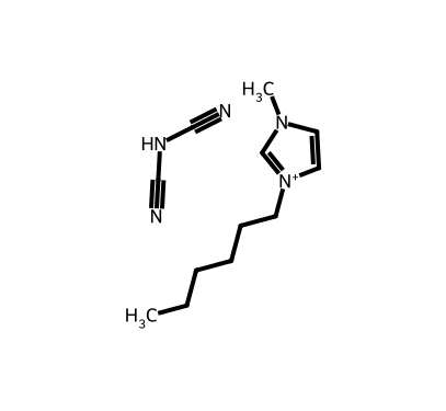 CCCCCC[n+]1ccn(C)c1.N#CNC#N